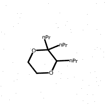 CCCC1OCCOC1(CCC)CCC